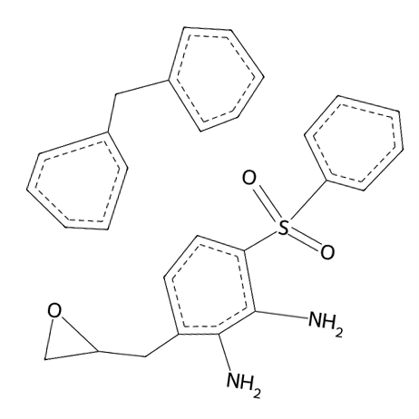 Nc1c(CC2CO2)ccc(S(=O)(=O)c2ccccc2)c1N.c1ccc(Cc2ccccc2)cc1